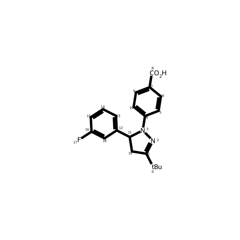 CC(C)(C)C1=NN(c2ccc(C(=O)O)cc2)C(c2cccc(F)c2)C1